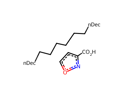 CCCCCCCCCCCCCCCCCCCCCCCCCC.O=C(O)c1ccon1